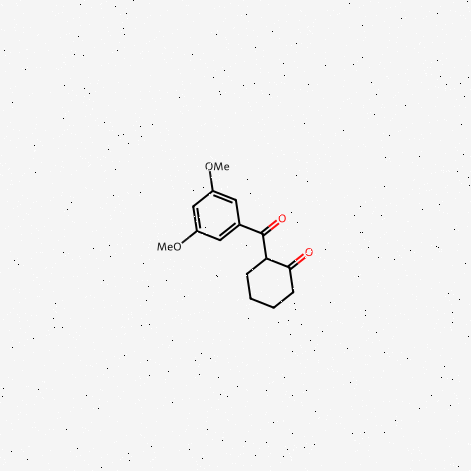 COc1cc(OC)cc(C(=O)C2CCCCC2=O)c1